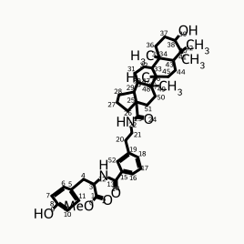 COC(=O)C(Cc1ccc(O)cc1)NC(=O)c1cccc(CCNC(=O)C23CCCC2C2CCC4C5(C)CCC(O)C(C)(C)C5CCC4(C)[C@]2(C)CC3)c1